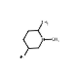 CC(C)C1CCC(C)N(C)C1